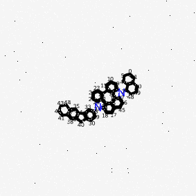 C1=CC2=C(CC1)C(n1c3cccc4c3c3c5c(ccc6c5c5c-4cccc5n6-c4ccc5c(c4)-c4cc6c(cc4C5)C=CCC6)ccc31)CC=C2